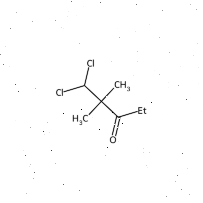 CCC(=O)C(C)(C)C(Cl)Cl